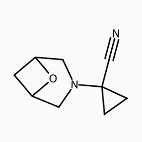 N#CC1(N2CC3CC(C2)O3)CC1